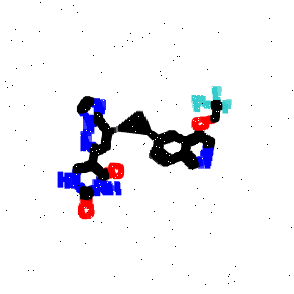 O=c1[nH]cc(-c2cc([C@@H]3C[C@H]3c3ccc4cncc(OCC(F)(F)F)c4c3)c3nccn3n2)c(=O)[nH]1